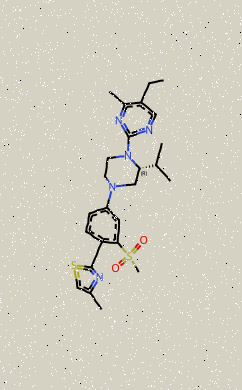 CCc1cnc(N2CCN(c3ccc(-c4nc(C)cs4)c(S(C)(=O)=O)c3)C[C@H]2C(C)C)nc1C